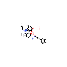 C=CCN1CC[C@]23c4c5c(OC(C)=O)cc(O)c4O[C@H]2[C@H](N(C)C(=O)C#Cc2ccc(C)c(C)c2)CC[C@H]3[C@H]1C5